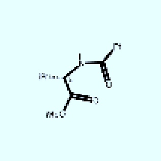 CCC(=O)N[C@H](C(=O)OC)C(C)C